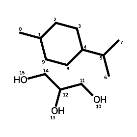 CC1CCC(C(C)C)CC1.OCC(O)CO